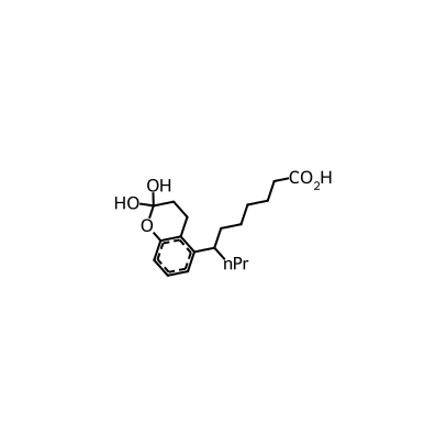 CCCC(CCCCCC(=O)O)c1cccc2c1CCC(O)(O)O2